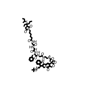 CCCC(CC)(SC(C)CC)C1CC(=O)N(CCCCCC(=O)NCC(=O)NCC(=O)N[C@@H](Cc2ccccc2)C(=O)NCC(=O)NCCN(C)C(=O)C[C@@]2(CC)C(=O)OCc3c2cc2n(c3=O)Cc3c-2nc2ccccc2c3/C=N/OC(C)(C)C)C1=O